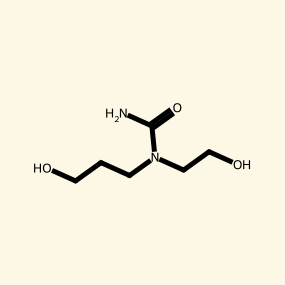 NC(=O)N(CCO)CCCO